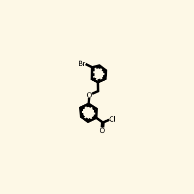 O=C(Cl)c1cccc(OCc2cccc(Br)c2)c1